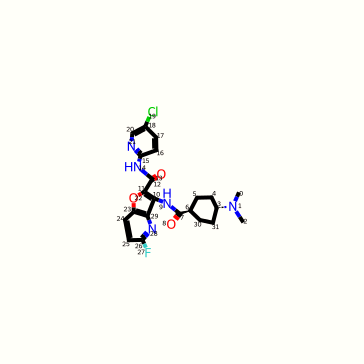 CN(C)[C@H]1CC[C@H](C(=O)Nc2c(C(=O)Nc3ccc(Cl)cn3)oc3ccc(F)nc23)CC1